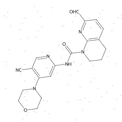 N#Cc1cnc(NC(=O)N2CCCc3ccc(C=O)nc32)cc1N1CCOCC1